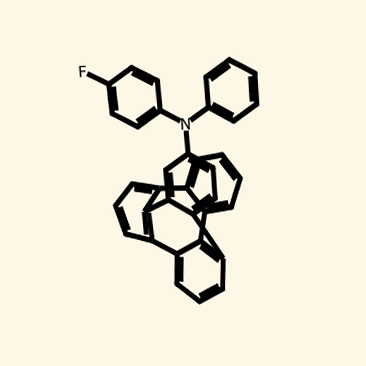 Fc1ccc(N(c2ccccc2)c2ccc3c(c2)-c2c4cccc2-c2cccc-3c2-c2ccccc2-4)cc1